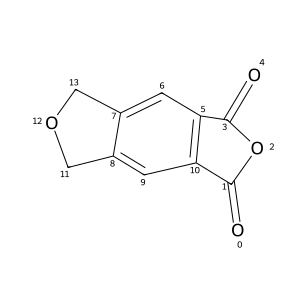 O=C1OC(=O)c2cc3c(cc21)COC3